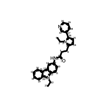 CCn1c(CCC(=O)Nc2ccc3c(c2)c2ccccc2n3CC)ccc1-c1cccnc1